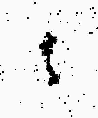 COCc1ccc(C(F)(F)F)c(CNC(=O)Nc2cc(C(=O)NCCCCCCCCN3CCC(c4ccc(NC5CCC(=O)NC5=O)cc4)CC3)nn2-c2ccccc2)c1